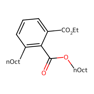 CCCCCCCCOC(=O)c1c(CCCCCCCC)cccc1C(=O)OCC